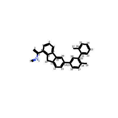 C=NC(=C)c1cccc2c1Cc1ccc(-c3ccc(C)c(-c4ccccc4C)c3)cc1-2